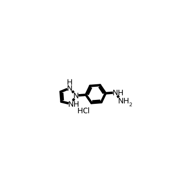 Cl.NNc1ccc(N2NC=CN2)cc1